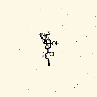 C#CC/C=C\C(Cl)=C(/C)CC(O)(Cn1nc[nH]c1=S)C1(Cl)CC1